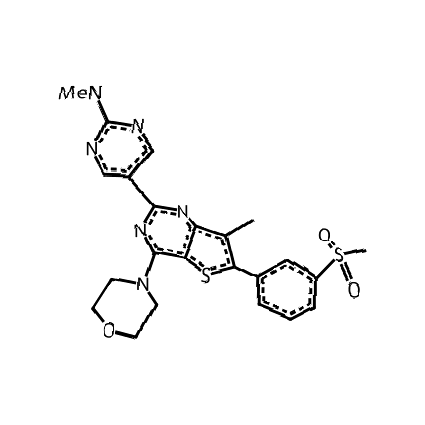 CNc1ncc(-c2nc(N3CCOCC3)c3sc(-c4cccc(S(C)(=O)=O)c4)c(C)c3n2)cn1